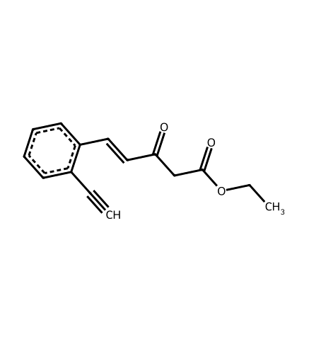 C#Cc1ccccc1C=CC(=O)CC(=O)OCC